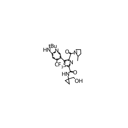 CC1CCCN1C(=O)c1nc(C(=O)NC2(CO)CC2)sc1-c1cnc(NC(C)(C)C)cc1C(F)(F)F